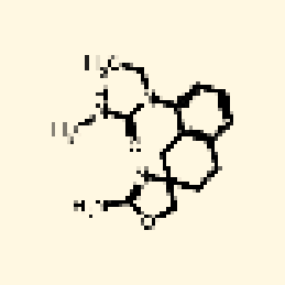 CCN(C(=O)NC)c1cccc2c1CC1(CC2)COC(N)=N1